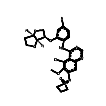 COc1c(N=S2(=O)CCC2)cc2ncnc(Nc3ccc(F)cc3O[C@@H]3CO[C@@H]4CCO[C@@H]43)c2c1Cl